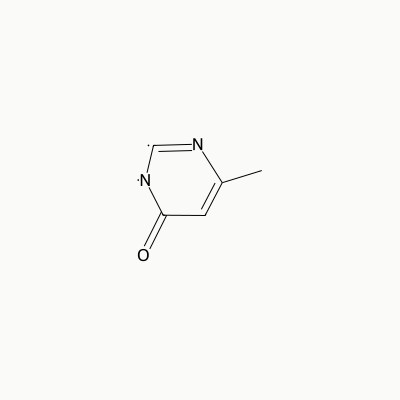 CC1=CC(=O)[N][C]=N1